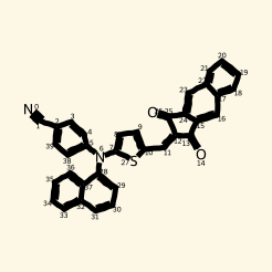 N#Cc1ccc(N(c2ccc(C=C3C(=O)c4cc5ccccc5cc4C3=O)s2)c2cccc3ccccc23)cc1